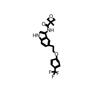 CC1(C(=O)Nc2c[nH]c3ccc(CCOc4ccc(C(F)(F)F)cc4)cc23)COC1